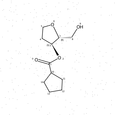 O=C(O[C@H]1CCO[C@@H]1CO)C1CCCC1